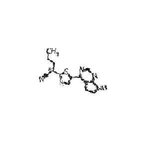 CCC[C@H](C#N)c1ncc(-c2ncnc3[nH]ccc23)s1